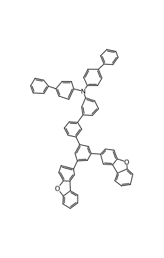 c1ccc(-c2ccc(N(c3ccc(-c4ccccc4)cc3)c3cccc(-c4cccc(-c5cc(-c6ccc7oc8ccccc8c7c6)cc(-c6ccc7oc8ccccc8c7c6)c5)c4)c3)cc2)cc1